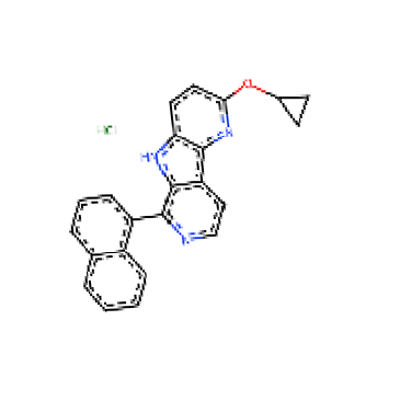 Cl.c1ccc2c(-c3nccc4c3[nH]c3ccc(OC5CC5)nc34)cccc2c1